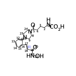 O=C(O)NCCCC(=O)N1CCN(c2ccccc2/C=C/C(=O)NO)CC1